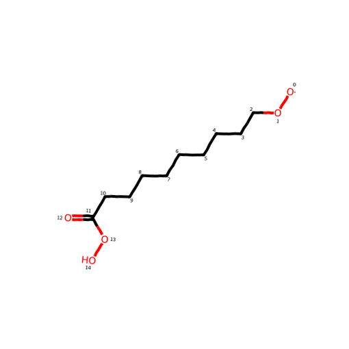 [O]OCCCCCCCCCC(=O)OO